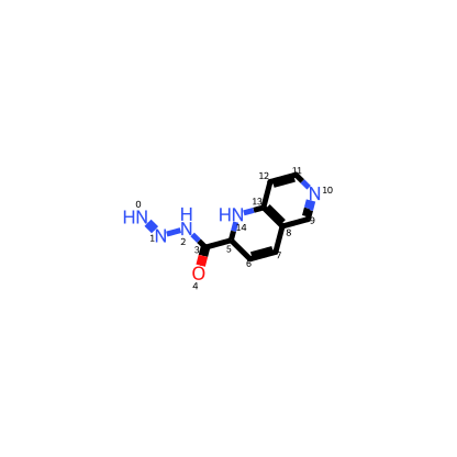 N=NNC(=O)C1C=Cc2cnccc2N1